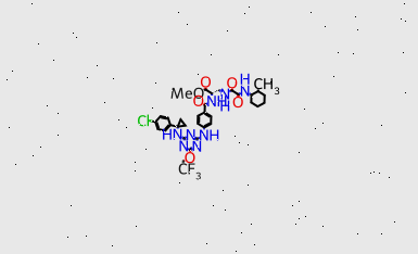 COC(=O)[C@H](CNC(=O)C(=O)NC1CCCCC1C)NC(=O)c1ccc(Nc2nc(NC3(c4ccc(Cl)cc4)CC3)nc(OCC(F)(F)F)n2)cc1